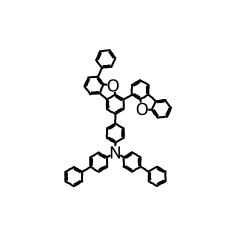 c1ccc(-c2ccc(N(c3ccc(-c4ccccc4)cc3)c3ccc(-c4cc(-c5cccc6c5oc5ccccc56)c5oc6c(-c7ccccc7)cccc6c5c4)cc3)cc2)cc1